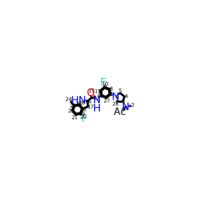 CC(=O)N(C)C1CCN(c2cc(F)cc(NC(=O)C3Cc4c(F)ccc(C)c4N3)c2)C1